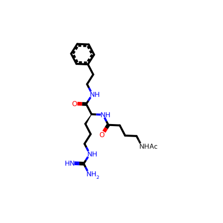 CC(=O)NCCCC(=O)N[C@@H](CCCNC(=N)N)C(=O)NCCc1ccccc1